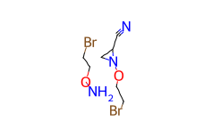 N#CC1CN1OCCBr.NOCCBr